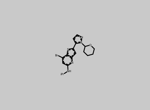 CC(C)Nc1cc(Br)c2sc(-c3ccnn3C3CCCCO3)cc2n1